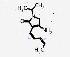 C/C=C\C=C/C1=C(N)CN(C(C)C)C1=O